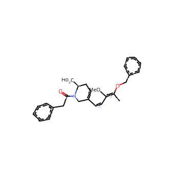 COC(/C=C\C1=CCC(C(=O)O)N(C(=O)Cc2ccccc2)C1)=C(/C)OCc1ccccc1